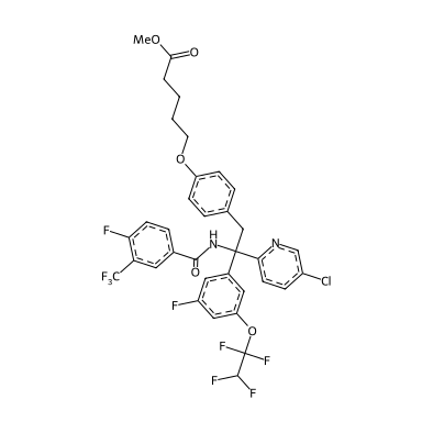 COC(=O)CCCCOc1ccc(CC(NC(=O)c2ccc(F)c(C(F)(F)F)c2)(c2cc(F)cc(OC(F)(F)C(F)F)c2)c2ccc(Cl)cn2)cc1